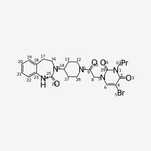 CC(C)n1c(=O)c(Br)cn(CC(=O)N2CCC(N3CCc4ccccc4NC3=O)CC2)c1=O